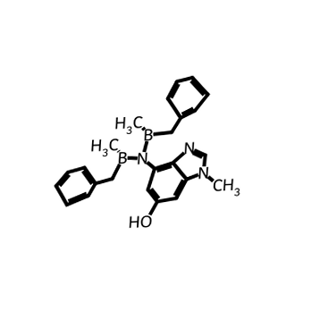 CB(Cc1ccccc1)N(B(C)Cc1ccccc1)c1cc(O)cc2c1ncn2C